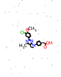 COc1ccc(-c2nc(C)c3c(n2)N(c2ccc(CC(=O)O)cc2)CC3)cc1Cl